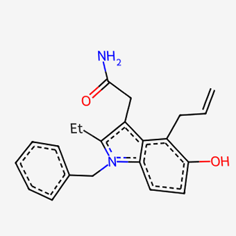 C=CCc1c(O)ccc2c1c(CC(N)=O)c(CC)n2Cc1ccccc1